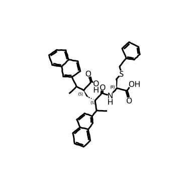 CC(c1ccc2ccccc2c1)[C@H](C[C@H](C(=O)N[C@@H](CSCc1ccccc1)C(=O)O)C(C)c1ccc2ccccc2c1)C(=O)O